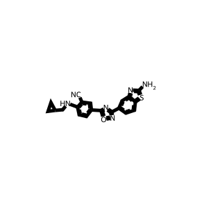 N#Cc1cc(-c2nc(-c3ccc4sc(N)nc4c3)no2)ccc1NCC1CC1